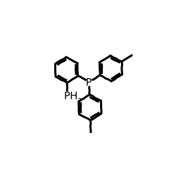 Cc1ccc(P(c2ccc(C)cc2)c2ccccc2P)cc1